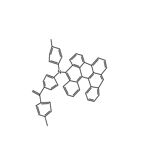 C=C(c1ccc(C)cc1)c1ccc(N(c2ccc(C)cc2)c2c3ccccc3c3c4c2cccc4c2cccc4cc5ccccc5c3c42)cc1